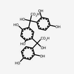 O=C(O)C(O)(c1ccc(O)cc1O)c1cc(C(O)(C(=O)O)c2ccc(O)cc2O)c(O)cc1O